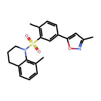 Cc1cc(-c2ccc(C)c(S(=O)(=O)N3CCCc4cccc(C)c43)c2)on1